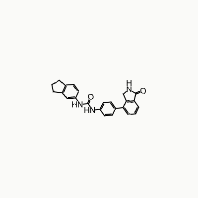 O=C(Nc1ccc(-c2cccc3c2CNC3=O)cc1)Nc1ccc2c(c1)CCC2